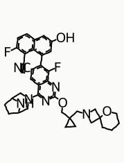 C#Cc1c(F)ccc2cc(O)cc(-c3c(C#N)cc4c(N5CC6CCC(C5)N6)nc(OCC5(CN6CC7(CCCCO7)C6)CC5)nc4c3F)c12